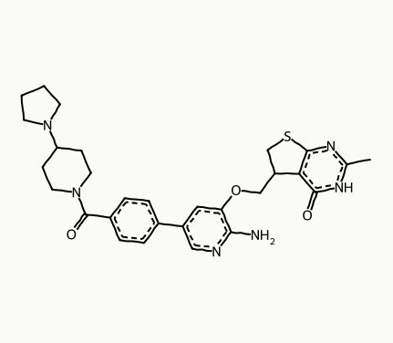 Cc1nc2c(c(=O)[nH]1)C(COc1cc(-c3ccc(C(=O)N4CCC(N5CCCC5)CC4)cc3)cnc1N)CS2